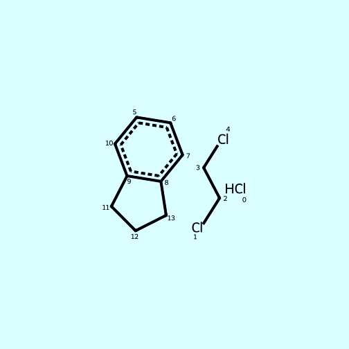 Cl.ClCCCl.c1ccc2c(c1)CCC2